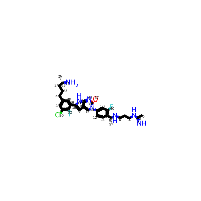 CC(=N)NCCCN[C@H](C)c1ccc(-n2cc3cc(-c4cc(CCC[C@H](C)N)cc(Cl)c4F)[nH]c3nc2=O)cc1F